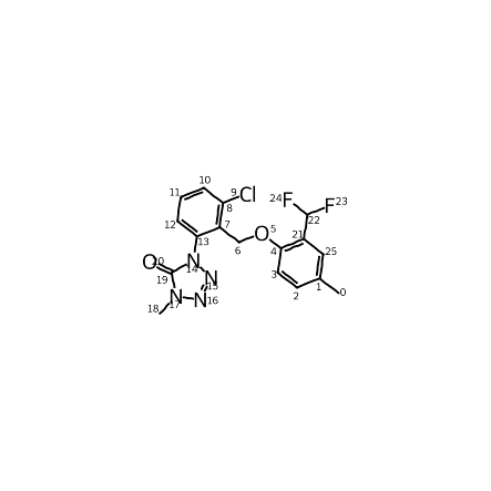 Cc1ccc(OCc2c(Cl)cccc2-n2nnn(C)c2=O)c(C(F)F)c1